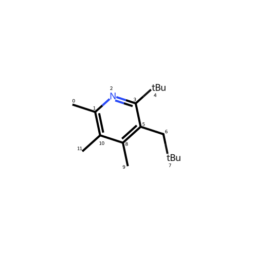 Cc1nc(C(C)(C)C)c(CC(C)(C)C)c(C)c1C